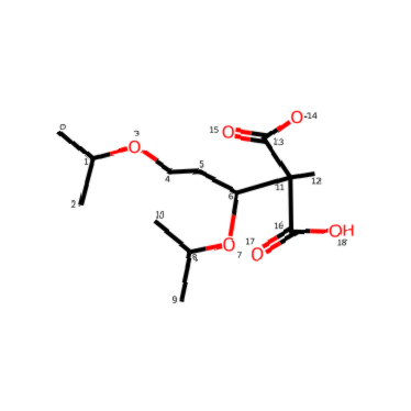 CC(C)OCCC(OC(C)C)C(C)(C([O])=O)C(=O)O